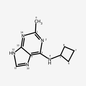 Cc1nc(NC2CCC2)c2nc[nH]c2n1